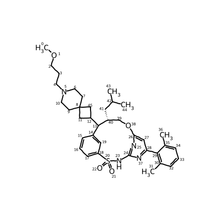 COCCCN1CCC2(CC1)CC(C1c3cccc(c3)S(=O)(=O)Nc3nc(cc(-c4c(C)cccc4C)n3)OC[C@H]1CC(C)C)C2